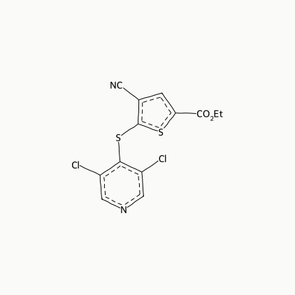 CCOC(=O)c1cc(C#N)c(Sc2c(Cl)cncc2Cl)s1